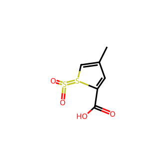 CC1=CS(=S(=O)=O)C(C(=O)O)=C1